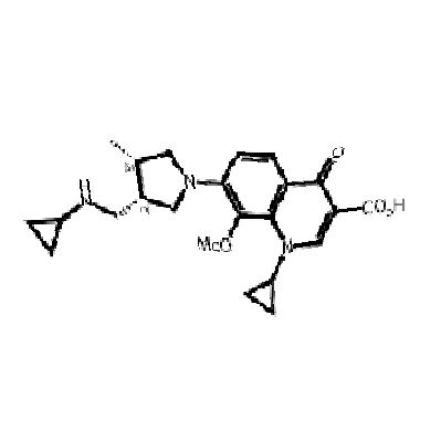 COc1c(N2C[C@H](CNC3CC3)[C@H](C)C2)ccc2c(=O)c(C(=O)O)cn(C3CC3)c12